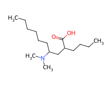 CCCCCCC(CC(CCCC)C(=O)O)N(C)C